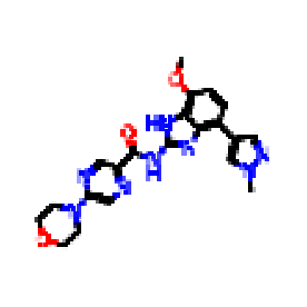 COc1ccc(-c2cnn(C)c2)c2nc(NC(=O)c3cnc(N4CCOCC4)cn3)[nH]c12